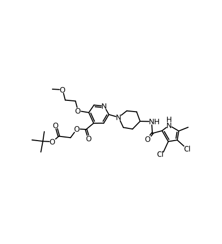 COCCOc1cnc(N2CCC(NC(=O)c3[nH]c(C)c(Cl)c3Cl)CC2)cc1C(=O)OCC(=O)OC(C)(C)C